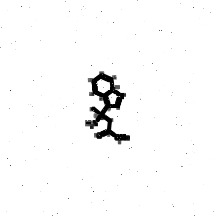 COC(=O)C[C@](C)(N)c1cnn2ccccc12